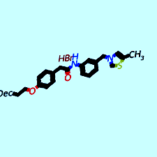 Br.CCCCCCCCCCCCOc1ccc(CC(=O)Nc2cccc(CN3C=C(C)SC3)c2)cc1